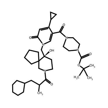 CC(CC1CCCCC1)C(=O)N1CC[C@@](O)(Cn2cc(C(=O)N3CCN(C(=O)OC(C)(C)C)CC3)c(C3CC3)cc2=O)C2(CCCC2)C1